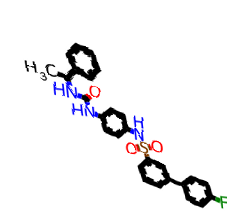 CC(NC(=O)Nc1ccc(NS(=O)(=O)c2cccc(-c3ccc(F)cc3)c2)cc1)c1ccccc1